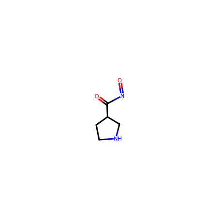 O=NC(=O)C1CCNC1